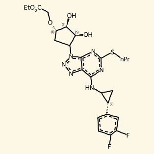 CCCSc1nc(NC2C[C@@H]2c2ccc(F)c(F)c2)c2nnn(C3C[C@H](OCC(=O)OCC)[C@@H](O)[C@H]3O)c2n1